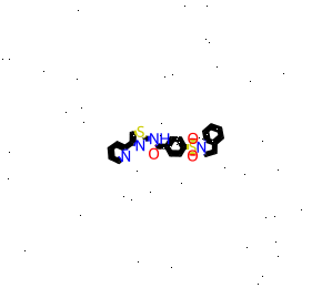 O=C(Nc1nc(-c2ccccn2)cs1)c1ccc(S(=O)(=O)N2CCc3ccccc32)cc1